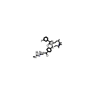 C=NN/N=C(\N)CNC(=O)c1ccc([C@@H](CC/C(C)=C/C)N2C(=O)C(c3cccc(F)c3)=NC2CCC(C)C(C)C)cc1